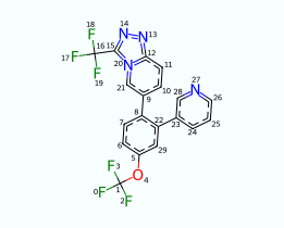 FC(F)(F)Oc1ccc(-c2ccc3nnc(C(F)(F)F)n3c2)c(-c2cccnc2)c1